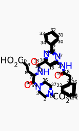 CCOC(=O)N1CCN(C(=O)C(CCC(=O)O)NC(=O)c2cc(NC(=O)Cc3ccccc3)nc(-c3ccccc3)n2)CC1